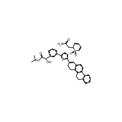 CC(C)OC(=O)N(O)c1cccc(-c2ccc(C3=Cc4ccc5c(c4CC3)CCc3ccccc3-5)s2)c1.NC(=O)CC1C=CC=CS1(=O)=O